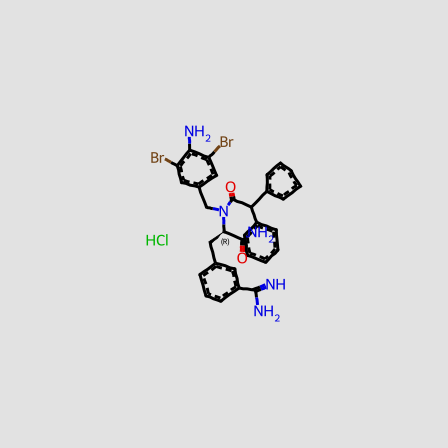 Cl.N=C(N)c1cccc(C[C@H](C(N)=O)N(Cc2cc(Br)c(N)c(Br)c2)C(=O)C(c2ccccc2)c2ccccc2)c1